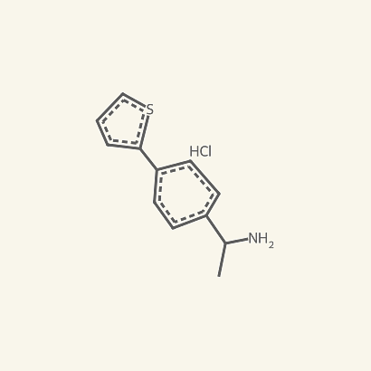 CC(N)c1ccc(-c2cccs2)cc1.Cl